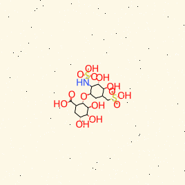 O=C(O)C1C[C@@H](O)C(O)[C@H](O)[C@H]1O[C@@H]1CC(CS(=O)(=O)O)[C@H](O)[C@@H](O)C1NS(=O)(=O)O